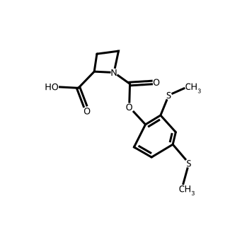 CSc1ccc(OC(=O)N2CCC2C(=O)O)c(SC)c1